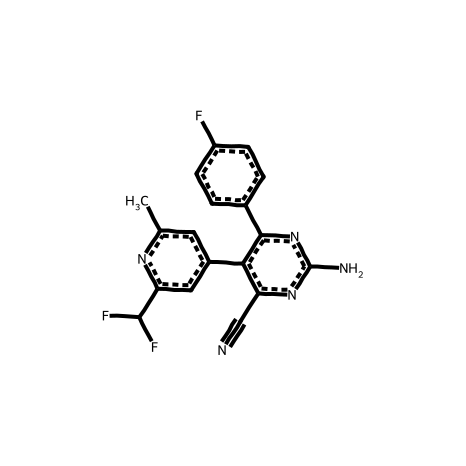 Cc1cc(-c2c(C#N)nc(N)nc2-c2ccc(F)cc2)cc(C(F)F)n1